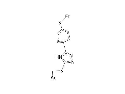 CCSc1ccc(-c2nnc(SCC(C)=O)[nH]2)cc1